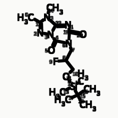 Cc1nn2c(=O)n(CC(F)CO[Si](C)(C)C(C)(C)C)c(=O)nc2n1C